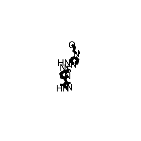 COCCN(C)c1ccnc(Nc2nc3ccc(-c4cn[nH]c4C)nc3s2)c1